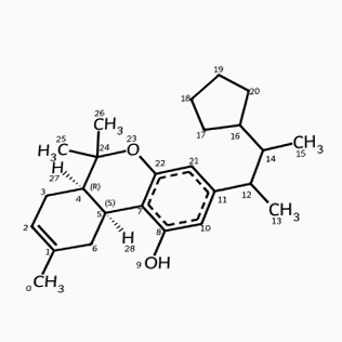 CC1=CC[C@@H]2[C@H](C1)c1c(O)cc(C(C)C(C)C3CCCC3)cc1OC2(C)C